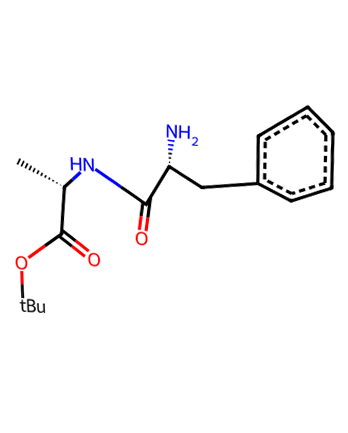 C[C@H](NC(=O)[C@H](N)Cc1ccccc1)C(=O)OC(C)(C)C